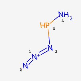 [N-]=[N+]=NPN